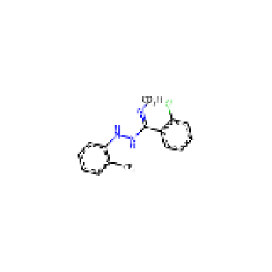 O=C(O)N=C(NNc1ccccc1C(F)(F)F)c1ccccc1Cl